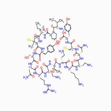 CC[C@H](C)[C@H](NC(=O)[C@@H]1C[C@@H](O)CN1C(=O)[C@@H](N)C(C)C)C(=O)N[C@H](C(=O)N[C@@H](Cc1ccc(O)cc1)C(=O)N[C@@H](CO)C(=O)N[C@@H](CC(N)=O)C(=O)N[C@@H](CCCNC(=N)N)C(=O)N[C@@H](CCN)C(=O)N[C@H](C(=O)N[C@H](CCN)C(=O)N[C@@H](CCCCN)C(=O)N[C@@H](CCN)C(=O)N[C@@H](CC(N)=O)C(=O)N[C@@H](CS)C(=O)N[C@@H](Cc1ccc(O)cc1)C(=O)O)[C@@H](C)O)C(C)(C)S